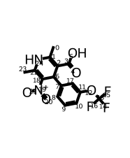 CC1=C(C(=O)O)C(c2cccc(OC(F)(F)F)c2)C([N+](=O)[O-])=C(C)N1